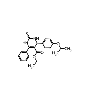 CCOC(=O)C1=C(c2ccccc2)NC(=S)NC1c1ccc(OC(C)C)cc1